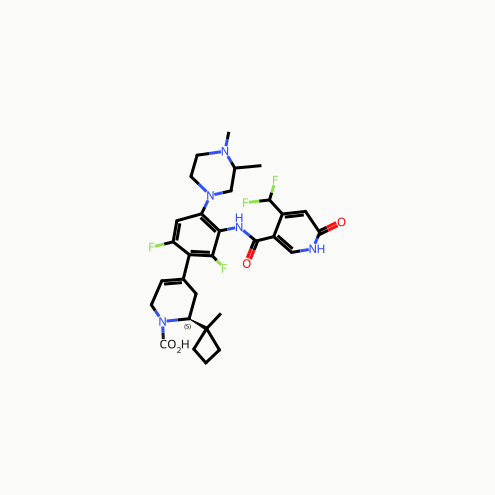 CC1CN(c2cc(F)c(C3=CCN(C(=O)O)[C@H](C4(C)CCC4)C3)c(F)c2NC(=O)c2c[nH]c(=O)cc2C(F)F)CCN1C